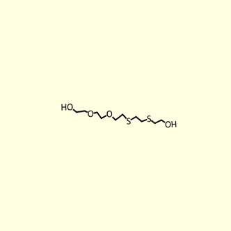 OCCOCCOCCSCCSCCO